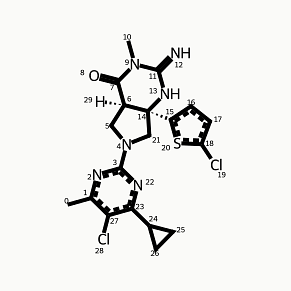 Cc1nc(N2C[C@H]3C(=O)N(C)C(=N)N[C@@]3(c3ccc(Cl)s3)C2)nc(C2CC2)c1Cl